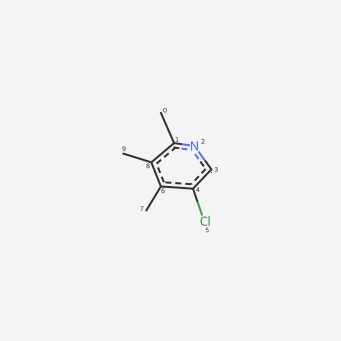 Cc1n[c]c(Cl)c(C)c1C